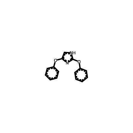 c1ccc(Oc2c[nH]c(Oc3ccccc3)n2)cc1